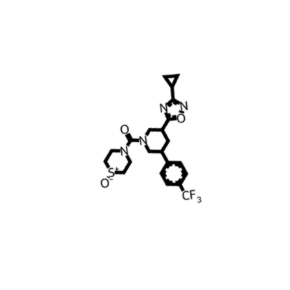 O=C(N1CC[S+]([O-])CC1)N1CC(c2ccc(C(F)(F)F)cc2)CC(c2nc(C3CC3)no2)C1